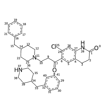 O=C1CCc2cc(C(=O)CCN3CCC(Cc4ccccc4)CC3)c(Cl)cc2N1.c1ccc(CC2CCNCC2)cc1